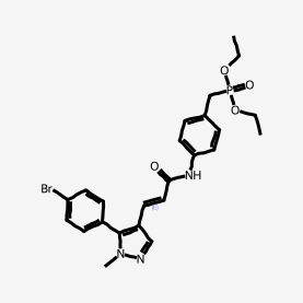 CCOP(=O)(Cc1ccc(NC(=O)/C=C/c2cnn(C)c2-c2ccc(Br)cc2)cc1)OCC